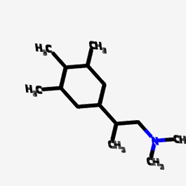 CC(CN(C)C)C1CC(C)C(C)C(C)C1